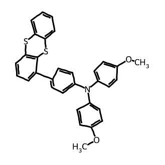 COc1ccc(N(c2ccc(OC)cc2)c2ccc(-c3cccc4c3Sc3ccccc3S4)cc2)cc1